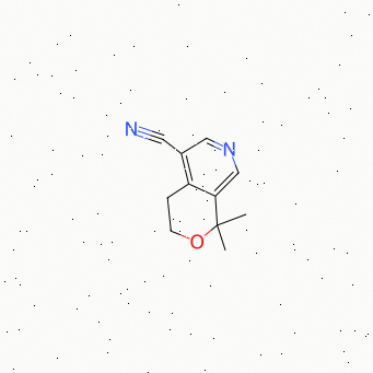 CC1(C)OCCc2c(C#N)cncc21